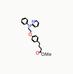 COC(=O)CCCc1ccc(OCCN(c2ccccc2)c2ccccn2)cc1